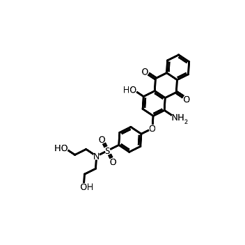 Nc1c(Oc2ccc(S(=O)(=O)N(CCO)CCO)cc2)cc(O)c2c1C(=O)c1ccccc1C2=O